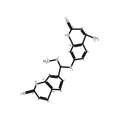 COC(Oc1ccc2c(C)cc(=O)oc2c1)c1ccc2ccc(=O)oc2c1